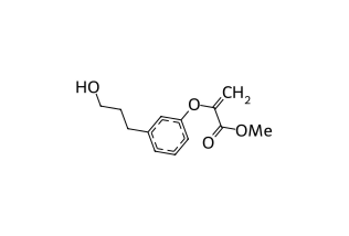 C=C(Oc1cccc(CCCO)c1)C(=O)OC